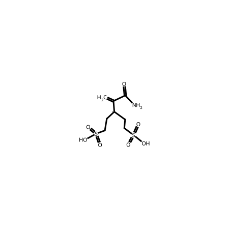 C=C([C](CCS(=O)(=O)O)CCS(=O)(=O)O)C(N)=O